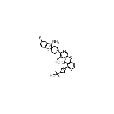 CC(C)(O)C1CN(c2nccc(Sc3cnc(N4CCC5(CC4)Oc4ccc(F)cc4[C@H]5N)c(CO)n3)c2Cl)C1